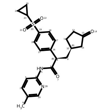 Cc1ccc(NC(=O)[C@H](C[C@H]2CCC(=O)C2)c2ccc(S(=O)(=O)C3CC3)cc2)nc1